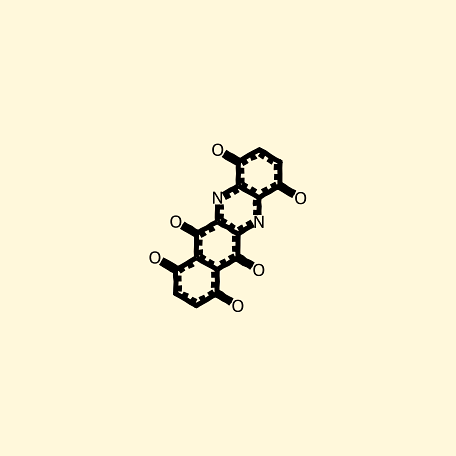 O=c1ccc(=O)c2nc3c(=O)c4c(=O)ccc(=O)c4c(=O)c3nc12